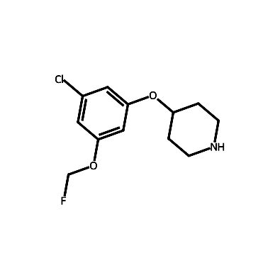 FCOc1cc(Cl)cc(OC2CCNCC2)c1